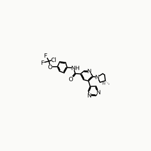 C[C@H]1CCN(c2ncc(C(=O)Nc3ccc(OC(F)(F)Cl)cc3)cc2-c2cncnc2)C1